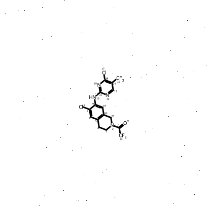 O=C(N1CCc2cc(Cl)c(Nc3ncc(C(F)(F)F)c(Cl)n3)cc2C1)C(F)(F)F